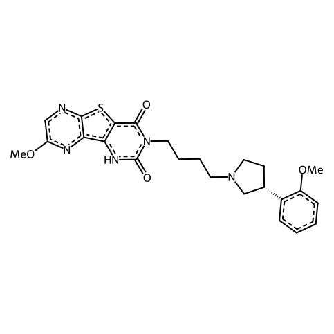 COc1cnc2sc3c(=O)n(CCCCN4CC[C@H](c5ccccc5OC)C4)c(=O)[nH]c3c2n1